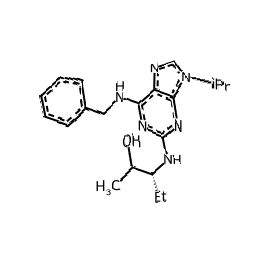 CC[C@@H](Nc1nc(NCc2ccccc2)c2ncn(C(C)C)c2n1)C(C)O